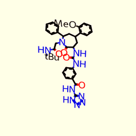 COc1ccccc1C1CC(NC(=O)Nc2cccc(C(=O)Nc3nnn[nH]3)c2)C(=O)N(CC(=O)NC(C)(C)C)C(c2ccccc2)C1